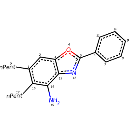 CCCCCc1cc2oc(-c3ccccc3)nc2c(N)c1CCCCC